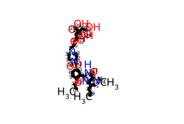 CCCOc1ccc(S(=O)(=O)N2CCN(CCOC(=O)CC(O)(CC(=O)O)C(=O)O)CC2)cc1-c1nc2c(CCC)cn(CC)c2c(=O)[nH]1